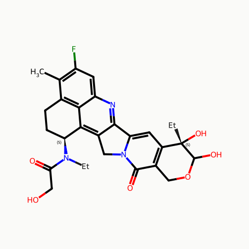 CCN(C(=O)CO)[C@H]1CCc2c(C)c(F)cc3nc4c(c1c23)Cn1c-4cc2c(c1=O)COC(O)[C@]2(O)CC